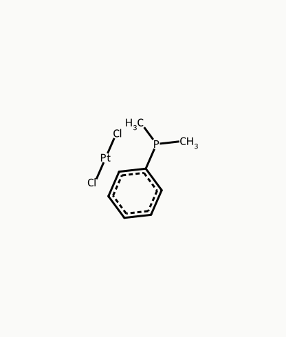 CP(C)c1ccccc1.[Cl][Pt][Cl]